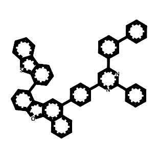 c1ccc(-c2cccc(-c3cc(-c4ccc(-c5cc6c(oc7cccc(-c8cccc9c8sc8ccccc89)c76)c6ccccc56)cc4)nc(-c4ccccc4)n3)c2)cc1